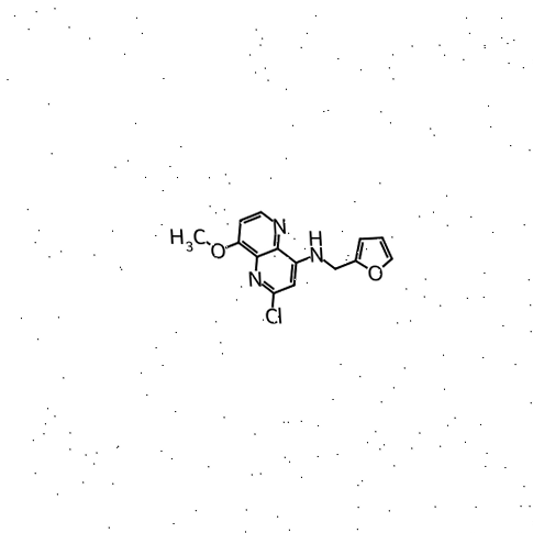 COc1ccnc2c(NCc3ccco3)cc(Cl)nc12